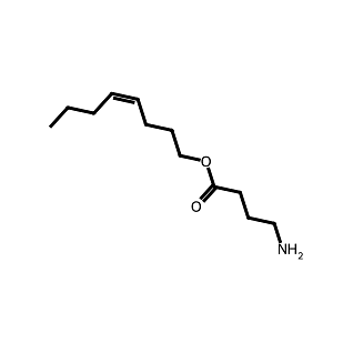 CCC/C=C\CCCOC(=O)CCCN